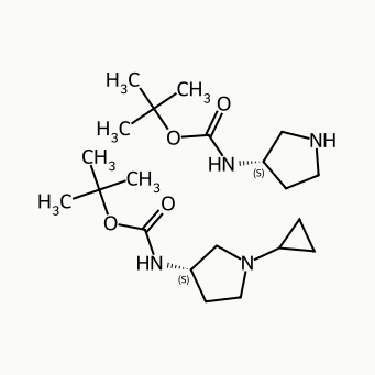 CC(C)(C)OC(=O)N[C@H]1CCN(C2CC2)C1.CC(C)(C)OC(=O)N[C@H]1CCNC1